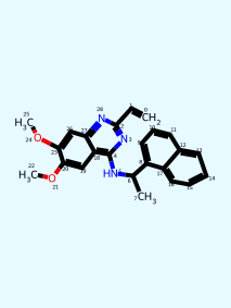 C=Cc1nc(NC(C)c2cccc3ccccc23)c2cc(OC)c(OC)cc2n1